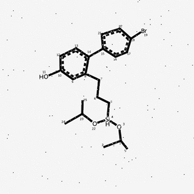 CC(C)O[SiH](CCCc1cc(O)ccc1-c1ccc(Br)cc1)OC(C)C